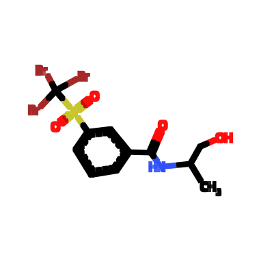 CC(CO)NC(=O)c1cccc(S(=O)(=O)C(Br)(Br)Br)c1